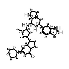 CN1SC(C2CSC3C(=O)C=C(N4CCOCC4)OC32)CC1NC1NC(c2ccc3c(c2)NNC3)CN2CCNC12